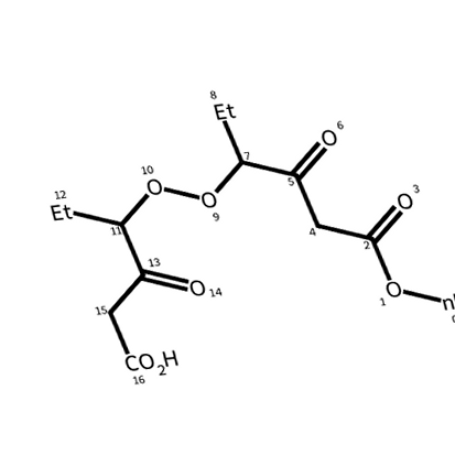 CCCOC(=O)CC(=O)C(CC)OOC(CC)C(=O)CC(=O)O